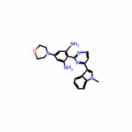 Cn1cc(-c2ccnc(-c3c(N)cc(N4CCOCC4)cc3N)n2)c2ccccc21